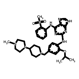 CC(C)Oc1cc(CN2CCC(N3CCN(C)CC3)CC2)ccc1Nc1nc(Nc2ccccc2S(C)(=O)=O)c2nc[nH]c2n1